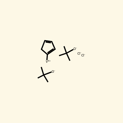 CC(C)(C)[O-].CC(C)(C)[O-].[Cl-].[Cl-].[V+4][C]1=CC=CC1